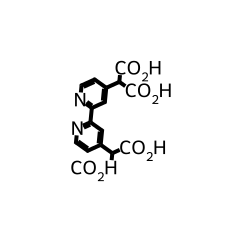 O=C(O)C(C(=O)O)c1ccnc(-c2cc(C(C(=O)O)C(=O)O)ccn2)c1